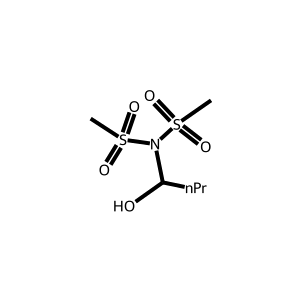 CCCC(O)N(S(C)(=O)=O)S(C)(=O)=O